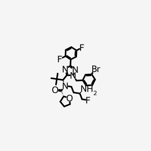 CC(C)(C)[C@H](c1nc(-c2cc(F)ccc2F)nn1Cc1cccc(Br)c1)N(CC[C@H](N)CF)C(=O)[C@H]1CCCO1